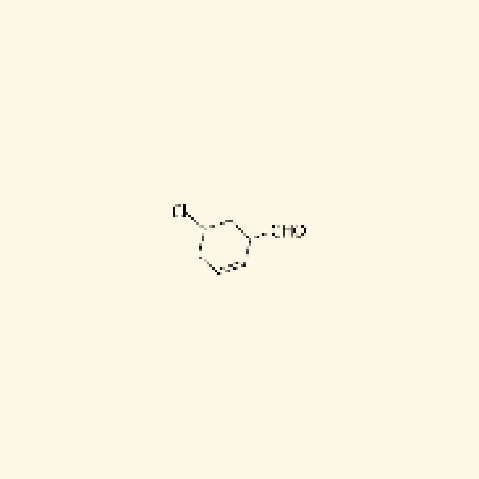 O=CC1C=CCC(Cl)C1